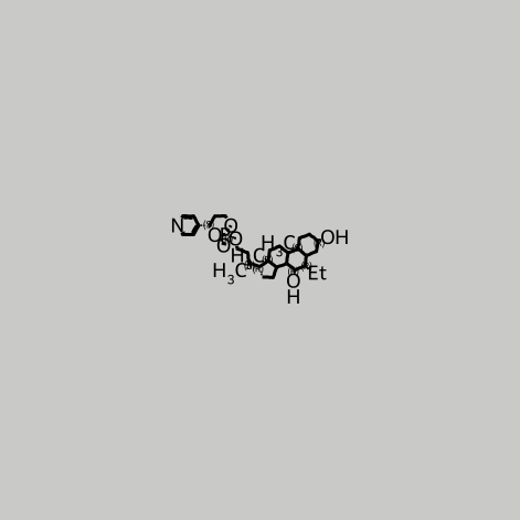 CC[C@@H]1C2C[C@H](O)CC[C@]2(C)C2CC[C@@]3(C)C(CC[C@@H]3[C@H](C)CCO[P@]3(=O)OCC[C@@H](c4ccncc4)O3)C2[C@@H]1O